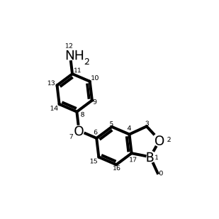 CB1OCc2cc(Oc3ccc(N)cc3)ccc21